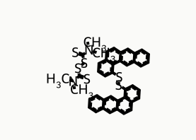 CN(C)C(=S)SSC(=S)N(C)C.c1ccc2cc3c(ccc4cccc(SSc5cccc6ccc7cc8ccccc8cc7c56)c43)cc2c1